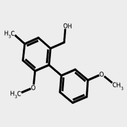 COc1cccc(-c2c(CO)cc(C)cc2OC)c1